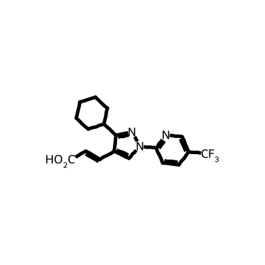 O=C(O)/C=C/c1cn(-c2ccc(C(F)(F)F)cn2)nc1C1CCCCC1